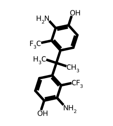 CC(C)(c1ccc(O)c(N)c1C(F)(F)F)c1ccc(O)c(N)c1C(F)(F)F